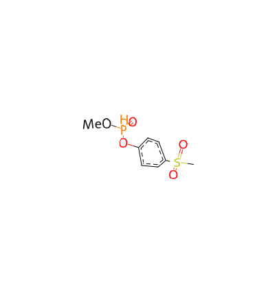 CO[PH](=O)Oc1ccc(S(C)(=O)=O)cc1